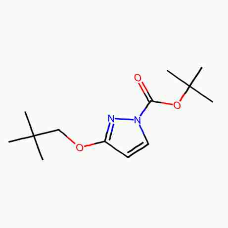 CC(C)(C)COc1ccn(C(=O)OC(C)(C)C)n1